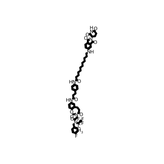 C[C@H](N(Cc1ccc(F)cc1)C(=O)CN1C(=O)CCc2cc(NC(=O)CCc3ccc(NC(=O)CCCCCCCCCCCNc4ccc5c(c4)C(=O)N(C4CCC(=O)NC4=O)C5=O)cc3)ccc2OC1=O)C(F)(F)F